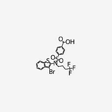 O=C(O)c1ccc(S(=O)(=O)N(CCCC(F)(F)F)c2sc3ccccc3c2Br)cc1